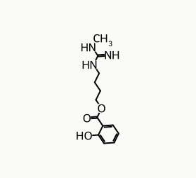 CNC(=N)NCCCCOC(=O)c1ccccc1O